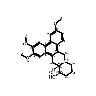 COc1ccc2c3c(c4cc(OC)c(OC)cc4c2c1)C[C@H]1[C@H](O)CCCN1C3